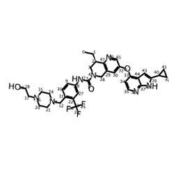 CC[C@@H]1CN(C(=O)Nc2ccc(CN3CCN(CCO)CC3)c(C(F)(F)F)c2)Cc2cc(Oc3ccnc4[nH]c(C5CC5)cc34)cnc21